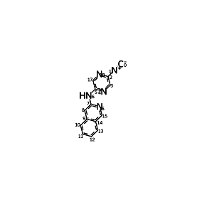 [C-]#[N+]c1cnc(Nc2cc3ccccc3cn2)cn1